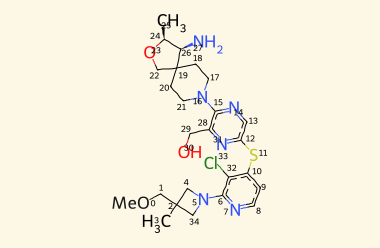 COCC1(C)CN(c2nccc(Sc3cnc(N4CCC5(CC4)CO[C@@H](C)[C@H]5N)c(CO)n3)c2Cl)C1